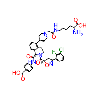 NC(CCCCNC(=O)CN1CC=C(c2cccc3c2CCN(C(=O)[C@H]2CC(c4cccc(Cl)c4F)=NO2)[C@@H]3C(=O)Nc2ccc(C(=O)O)cc2)CC1)C(=O)O